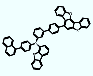 c1cc(-c2ccc(-c3cc4sc5ccccc5c4c4oc5ccccc5c34)cc2)cc(N(c2ccc(-c3cccc4ccccc34)cc2)c2cccc3c2sc2ccccc23)c1